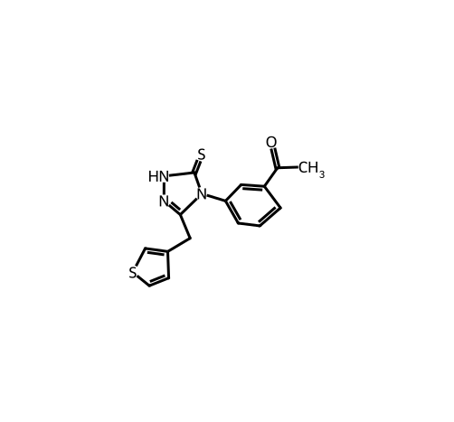 CC(=O)c1cccc(-n2c(Cc3ccsc3)n[nH]c2=S)c1